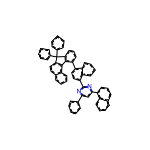 c1ccc(-c2cc(-c3cccc4ccccc34)nc(-c3ccc(-c4cccc5c4-c4c(ccc6ccccc46)C5(c4ccccc4)c4ccccc4)c4ccccc34)n2)cc1